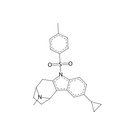 Cc1ccc(S(=O)(=O)n2c3c(c4cc(C5CC5)ccc42)C2CCC(C3)N2C)cc1